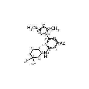 CC(=O)c1cc(NC2CCCC(F)(F)C2)nc(-n2nc(C)cc2C)n1